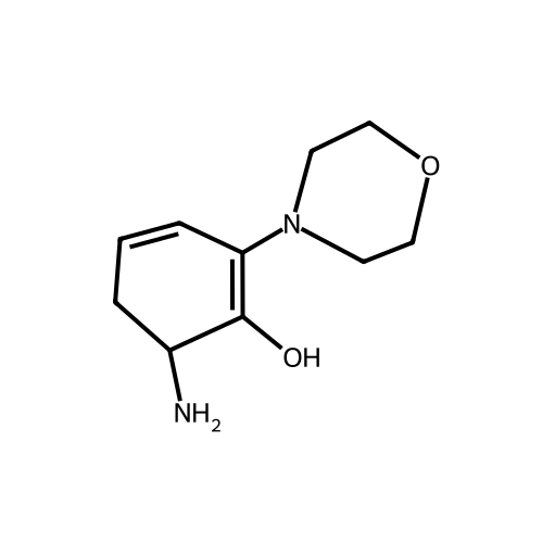 NC1CC=CC(N2CCOCC2)=C1O